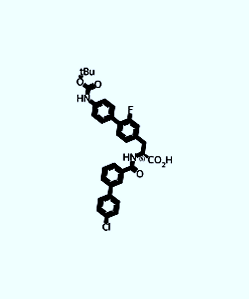 CC(C)(C)OC(=O)Nc1ccc(-c2ccc(C[C@H](NC(=O)c3cccc(-c4ccc(Cl)cc4)c3)C(=O)O)cc2F)cc1